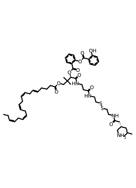 CC/C=C\C/C=C\C/C=C\C/C=C\C/C=C/CCCC(=O)OCC(C)(C)[C@@H](OC(=O)c1ccccc1OC(=O)c1ccccc1O)C(=O)NCCC(=O)NCCSSCCNC(=O)C[C@@H](CN)CC(C)C